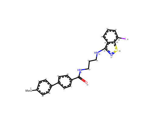 COc1ccc(-c2ccc(C(=O)NCCCNc3nsc4c(I)cccc34)cc2)cc1